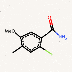 COc1cc(C(N)=O)c(F)cc1C